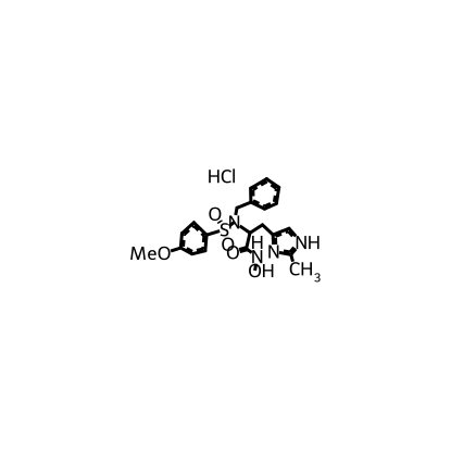 COc1ccc(S(=O)(=O)N(Cc2ccccc2)C(Cc2c[nH]c(C)n2)C(=O)NO)cc1.Cl